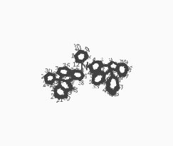 C1=C(c2ccc(N(c3ccccc3)c3ccc(C4=Cc5ccccc5C4(c4ccccc4)c4ccccc4)cc3)cc2)C(c2ccccc2)(c2ccccc2)c2ccccc21